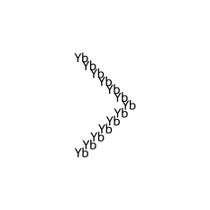 [Yb].[Yb].[Yb].[Yb].[Yb].[Yb].[Yb].[Yb].[Yb].[Yb].[Yb].[Yb].[Yb]